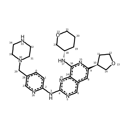 c1cc(Nc2ncc3cc([C@H]4CCOC4)nc(N[C@H]4CCCOC4)c3n2)ncc1CN1CCNCC1